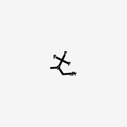 CCCC[Si](C)C(F)(F)F